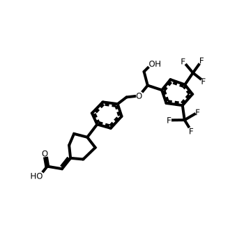 O=C(O)C=C1CCC(c2ccc(COC(CO)c3cc(C(F)(F)F)cc(C(F)(F)F)c3)cc2)CC1